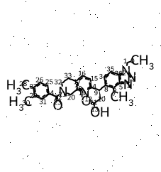 CCn1nnc2c(C)c([C@@H](CC(=O)O)c3ccc4c(n3)CN(C(=O)c3ccc(C)c(C)c3)CC4)ccc21